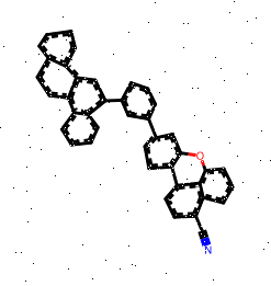 N#Cc1ccc2c3c(cccc13)Oc1cc(-c3cccc(-c4cc5c6ccccc6ccc5c5ccccc45)c3)ccc1-2